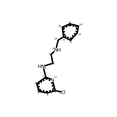 Clc1cccc(NCCNCc2ccccc2)n1